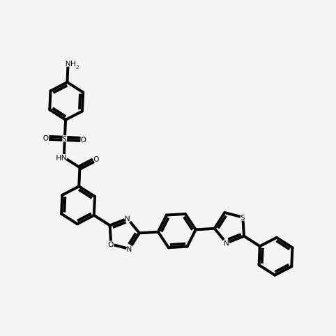 Nc1ccc(S(=O)(=O)NC(=O)c2cccc(-c3nc(-c4ccc(-c5csc(-c6ccccc6)n5)cc4)no3)c2)cc1